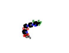 CS(=O)(=O)c1ccc(O[C@H]2CCN(C3CCN(c4ncc(C(F)(F)F)cc4F)CC3)C2=O)cn1